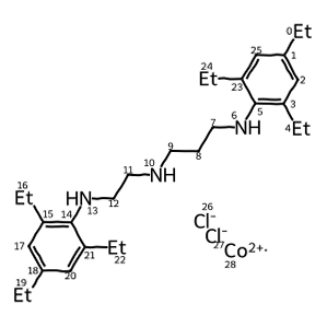 CCc1cc(CC)c(NCCCNCCNc2c(CC)cc(CC)cc2CC)c(CC)c1.[Cl-].[Cl-].[Co+2]